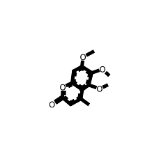 COc1cc2oc(=O)cc(C)c2c(OC)c1OC